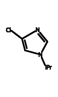 CC(C)n1cnc(Cl)c1